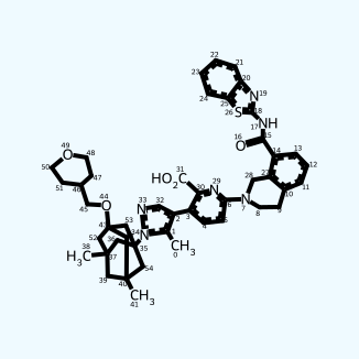 Cc1c(-c2ccc(N3CCc4cccc(C(=O)Nc5nc6ccccc6s5)c4C3)nc2C(=O)O)cnn1C12CC3(C)CC(C)(CC(OCC4CCOCC4)(C3)C1)C2